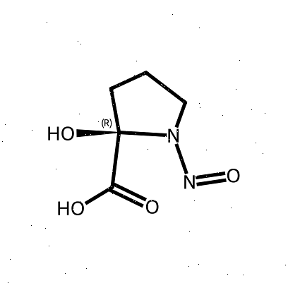 O=NN1CCC[C@@]1(O)C(=O)O